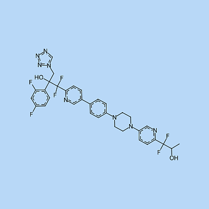 CC(O)C(F)(F)c1ccc(N2CCN(c3ccc(-c4ccc(C(F)(F)C(O)(Cn5cnnn5)c5ccc(F)cc5F)nc4)cc3)CC2)cn1